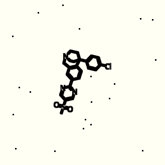 CS(=O)(=O)c1cnc(-c2ccc3c(c2)CN2CCC3(c3ccc(Cl)cc3)CC2)nc1